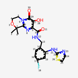 CC1(C)OCCn2c1nc(C(=O)NCc1ccc(F)cc1Nc1nccs1)c(O)c2=O